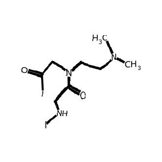 CN(C)CCN(CC(=O)I)C(=O)CNI